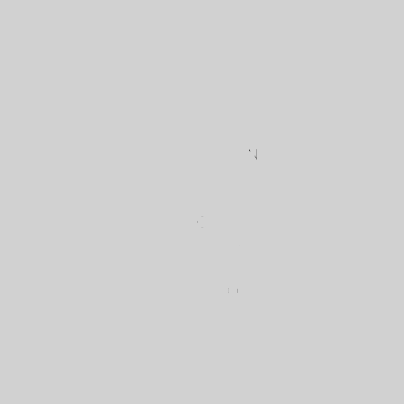 O=c1oc2ccccc2c2ccc3c4ccccc4n(-c4cc(-c5ccccc5)cc(-c5ccccc5)c4)c3c12